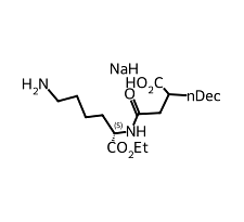 CCCCCCCCCCC(CC(=O)N[C@@H](CCCCN)C(=O)OCC)C(=O)O.[NaH]